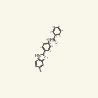 Cc1ccc2c(c1)SC(c1ccc(NC(=O)c3ccccc3)cc1)N2